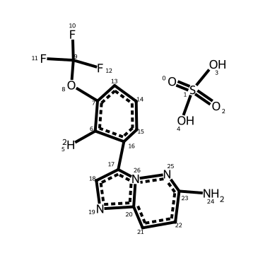 O=S(=O)(O)O.[2H]c1c(OC(F)(F)F)cccc1-c1cnc2ccc(N)nn12